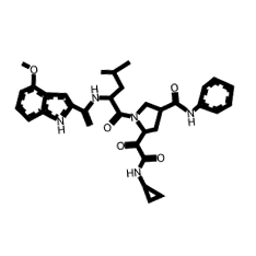 C=C(NC(CC(C)C)C(=O)N1CC(C(=O)Nc2ccccc2)CC1C(=O)C(=O)NC1CC1)c1cc2c(OC)cccc2[nH]1